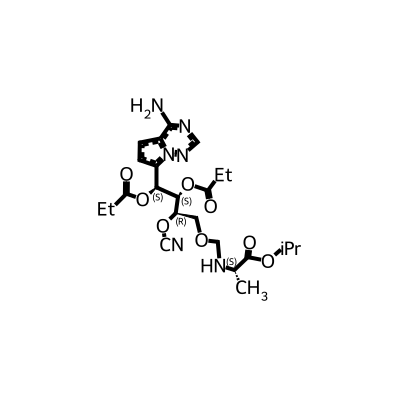 CCC(=O)O[C@H]([C@@H](COCN[C@@H](C)C(=O)OC(C)C)OC#N)[C@@H](OC(=O)CC)c1ccc2c(N)ncnn12